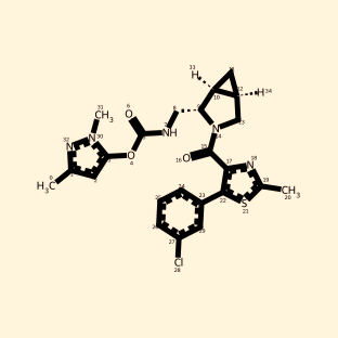 Cc1cc(OC(=O)NC[C@@H]2[C@H]3C[C@H]3CN2C(=O)c2nc(C)sc2-c2cccc(Cl)c2)n(C)n1